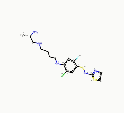 C[C@H](N)CNCCCCNc1cc(F)c(SNc2nccs2)cc1Cl